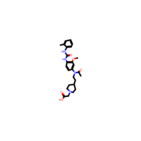 COc1cc(N(CCC2CCN(CC(=O)O)CC2)C(C)=O)ccc1NC(=O)Nc1ccccc1C